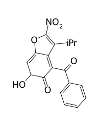 CC(C)c1c([N+](=O)[O-])oc2c1=C(C(=O)c1ccccc1)C(=O)C(O)C=2